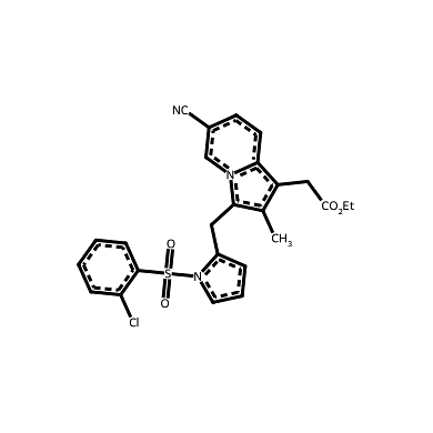 CCOC(=O)Cc1c(C)c(Cc2cccn2S(=O)(=O)c2ccccc2Cl)n2cc(C#N)ccc12